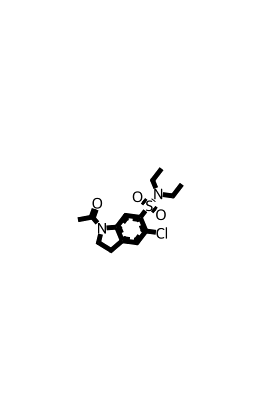 CCN(CC)S(=O)(=O)c1cc2c(cc1Cl)CCN2C(C)=O